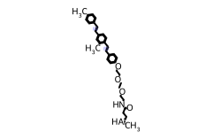 [CH3][AlH][CH2]CC(=O)NCCOCCOCCOc1ccc(/C=C/c2ccc(/C=C/c3ccc(C)cc3)cc2C)cc1